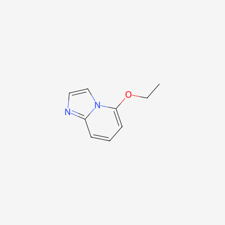 CCOc1cccc2nccn12